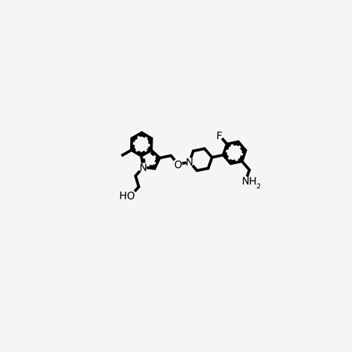 Cc1cccc2c(CON3CCC(c4cc(CN)ccc4F)CC3)cn(CCO)c12